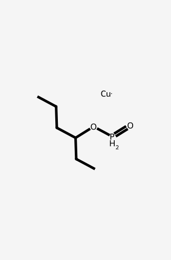 CCCC(CC)O[PH2]=O.[Cu]